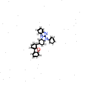 C1=CCCC(N2c3nc4ccccc4n3C3CC(c4cccc5c4oc4ccccc45)CCC32)=C1